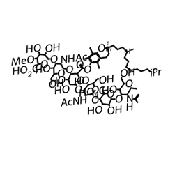 C=C(C)NC1C(C)OC(CO)C(O)C1OC1OC(C(=O)O)C(OC2OC(CO)C(O)C(OC3OC(C(=O)Oc4c(C)c(C)c5c(c4C)CC[C@](C)(CCC[C@@H](C)CCC[C@@H](C)CCCC(C)C)O5)C(OC4OC(CO)C(O)C(OC5OC(C(=O)O)C(OC)C(O)C5O)C4NC(C)=O)C(O)C3O)C2NC(C)=O)C(O)C1O